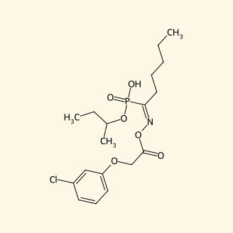 CCCCCC(=NOC(=O)COc1cccc(Cl)c1)P(=O)(O)OC(C)CC